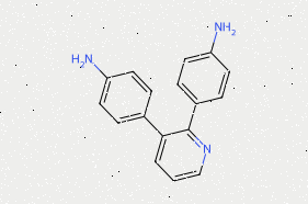 Nc1ccc(-c2cccnc2-c2ccc(N)cc2)cc1